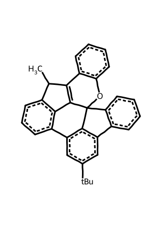 CC1C2=C3c4c(cccc41)-c1cc(C(C)(C)C)cc4c1C3(Oc1ccccc12)c1ccccc1-4